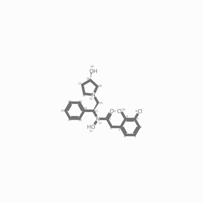 O=C(Cc1cccc(Cl)c1Cl)N(O)[C@H](CN1CC[C@H](O)C1)c1ccccc1